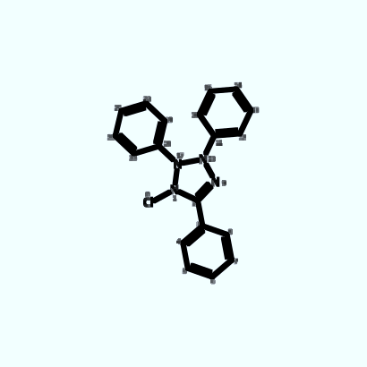 ClN1C(c2ccccc2)=NN(c2ccccc2)N1c1ccccc1